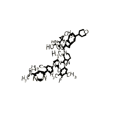 Cc1cc(-n2ccn(-c3c4c(nn3-c3cc(C)c(F)c(C)c3)CCN(C(=O)c3cc5cc(C6CCOCC6)ccc5n3[C@@]3(C5=NOC(O)N5)C[C@@H]3C)[C@H]4C)c2=O)ccc1-c1cc(N(C)C)ncn1